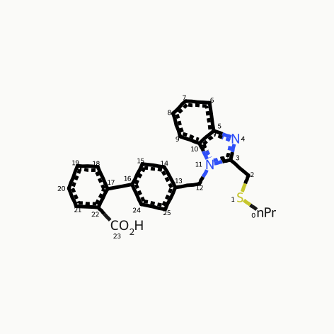 CCCSCc1nc2ccccc2n1Cc1ccc(-c2ccccc2C(=O)O)cc1